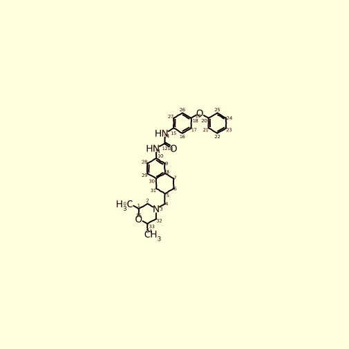 CC1CN(CC2CCc3cc(NC(=O)Nc4ccc(Oc5ccccc5)cc4)ccc3C2)CC(C)O1